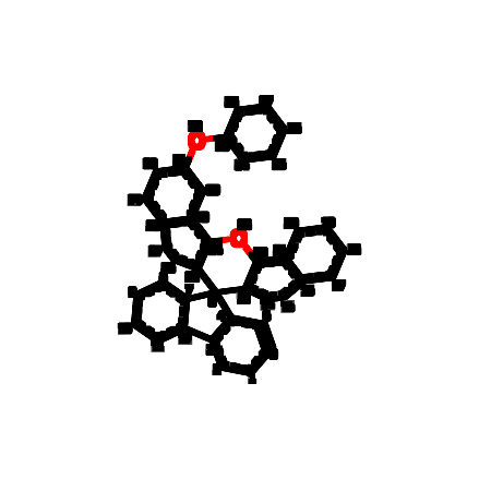 c1ccc2c(c#1)C1(c3ccccc3-2)c2ccc3ccccc3c2Oc2c1ccc1ccc(Oc3ccccc3)cc21